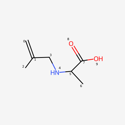 C=C(C)CNC(C)C(=O)O